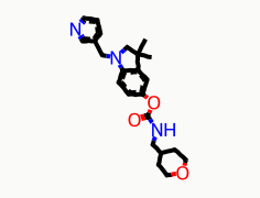 CC1(C)CN(Cc2cccnc2)c2ccc(OC(=O)NCC3CCOCC3)cc21